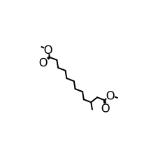 COC(=O)CCCCCCCCC(C)CC(=O)OC